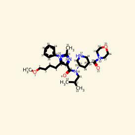 COCCCCc1c(C(=O)N(CC(C)C)[C@@H]2CNC[C@H](C(=O)N3CCOCC3)C2)nc(C)n1-c1ccccc1